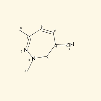 CC1=NN(C)CC(O)C=C1